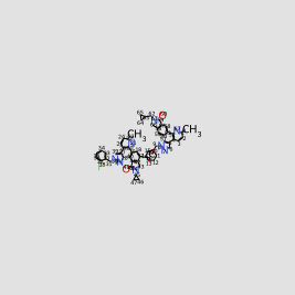 Cc1ccc(-c2cnn(CC34CCC(CC3)C(c3cc(-c5nc(C)ccc5-c5cnn(Cc6ccccc6F)c5)cc5c3CN(C3CC3)C5=O)C4)c2)c(-c2ccc3c(c2)C(=O)N(CC2CC2)C3)n1